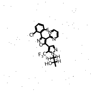 [2H]C(C)(O)C([2H])([2H])n1ncc(-c2onc(-c3c(F)cccc3Cl)c2-c2ncccn2)c1C(F)(F)F